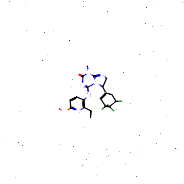 CCc1nc(OC)ccc1NC1=NC(=O)N(C)C2=NCC(C3=CC(F)=C(F)C(F)C3)N12